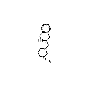 C[C@H]1CCCN(C[C@@H]2Cc3ccccc3CN2)C1